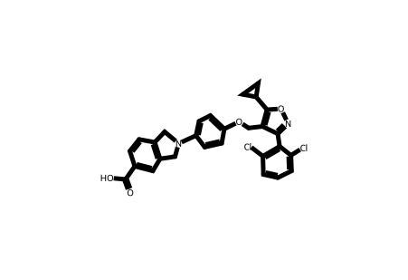 O=C(O)c1ccc2c(c1)CN(c1ccc(OCc3c(-c4c(Cl)cccc4Cl)noc3C3CC3)cc1)C2